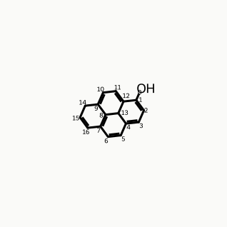 OC1=CC=C2C=CC3=C4C(=CC=C1C24)CC=C3